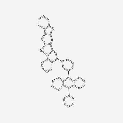 c1ccc(-c2c3ccccc3c(-c3cccc(-c4cc5c6cc7sc8ccccc8c7cc6sc5c5ccccc45)c3)c3ccccc23)cc1